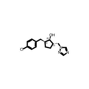 O[C@@H]1[C@H](Cc2ccc(Cl)cc2)CC[C@H]1Cn1cncn1